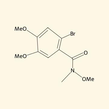 COc1cc(Br)c(C(=O)N(C)OC)cc1OC